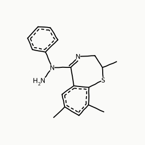 Cc1cc(C)c2c(c1)C(N(N)c1ccccc1)=NCC(C)S2